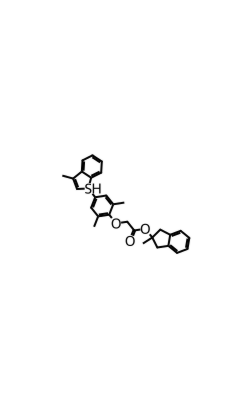 CC1=C[SH](c2cc(C)c(OCC(=O)OC3(C)Cc4ccccc4C3)c(C)c2)c2ccccc21